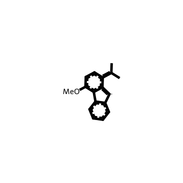 COc1ccc(=C(C)C)c2c1-c1ccccc1[C]=2